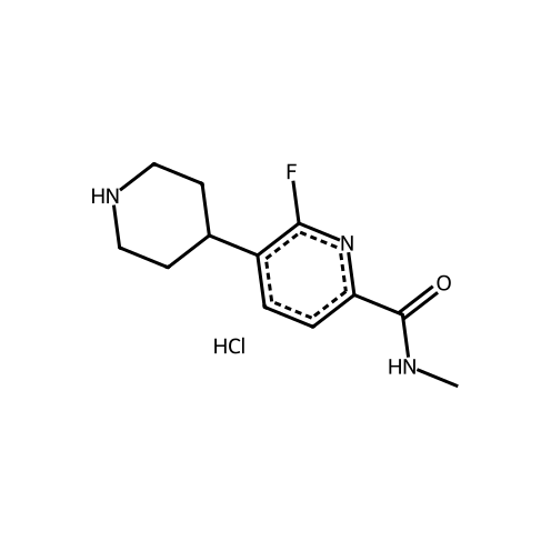 CNC(=O)c1ccc(C2CCNCC2)c(F)n1.Cl